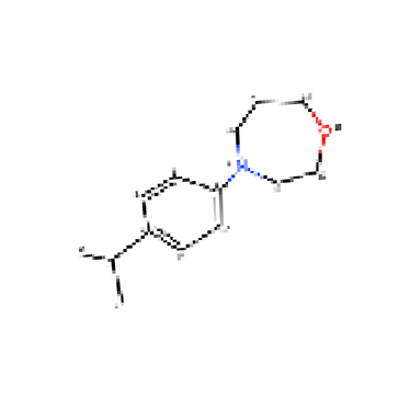 CC(C)c1ccc(N2CCCOCC2)cc1